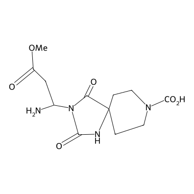 COC(=O)CC(N)N1C(=O)NC2(CCN(C(=O)O)CC2)C1=O